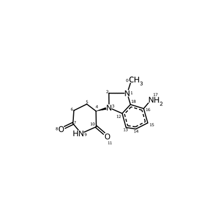 CN1CN([C@@H]2CCC(=O)NC2=O)c2cccc(N)c21